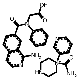 NC(=O)[N+]1(c2cccnc2)CCNCC1.Nc1nccc2ccc(C(=O)N(CC(=O)O)c3ccccc3)cc12